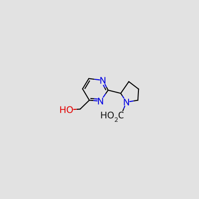 O=C(O)N1CCCC1c1nccc(CO)n1